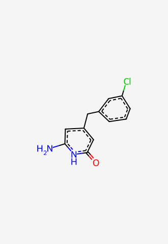 Nc1cc(Cc2cccc(Cl)c2)cc(=O)[nH]1